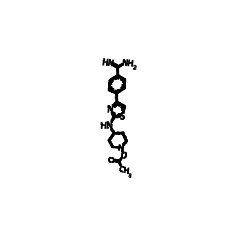 CC(=O)ON1CCC(Nc2nc(-c3ccc(C(=N)N)cc3)cs2)CC1